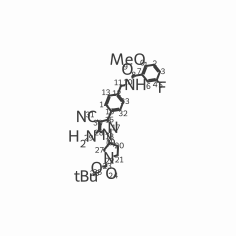 COc1ccc(F)cc1C(=O)NCc1ccc(-c2nn([C@H]3CCN(C(=O)OC(C)(C)C)C3)c(N)c2C#N)cc1